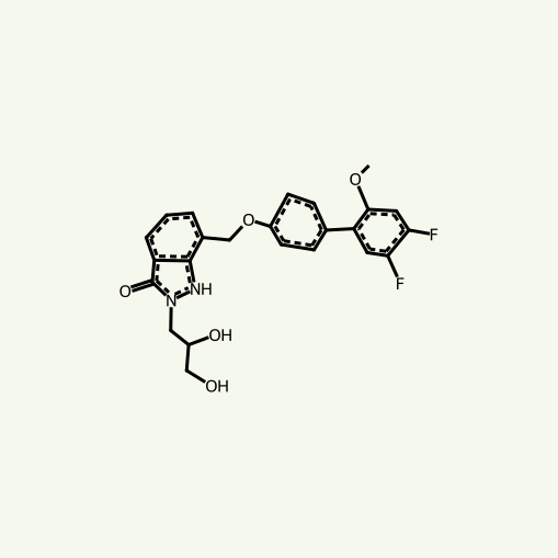 COc1cc(F)c(F)cc1-c1ccc(OCc2cccc3c(=O)n(CC(O)CO)[nH]c23)cc1